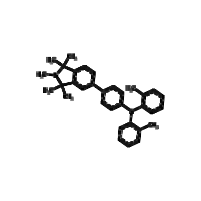 Cc1ccccc1N(c1ccc(-c2ccc3c(c2)C(C)(C)N(C)C3(C)C)cc1)c1ccccc1C